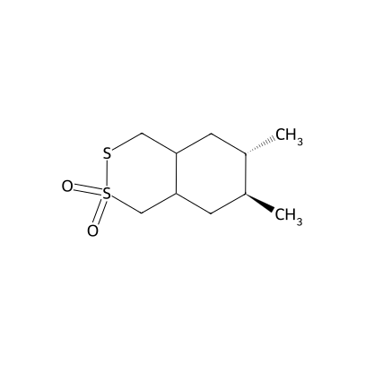 C[C@H]1CC2CSS(=O)(=O)CC2C[C@@H]1C